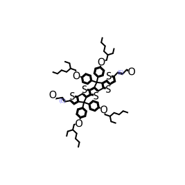 CCCCC(CC)COc1ccc(C2(c3ccc(OCC(CC)CCCC)cc3)c3cc(/C=C/C=O)sc3-c3sc4c5c(sc4c32)-c2sc3cc(/C=C/C=O)sc3c2C5(c2ccc(OCC(CC)CCCC)cc2)c2ccc(OCC(CC)CCCC)cc2)cc1